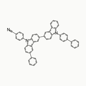 N#Cc1ccc(-n2c3ccc(-c4ccccc4)cc3c3cc(-c4ccc5c(c4)c4ccccc4n5-c4ccc(-c5ccccc5)cc4)ccc32)cc1